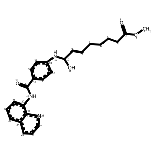 COC(=O)CCCCCCC(O)Nc1ccc(C(=O)Nc2cccc3cccnc23)cc1